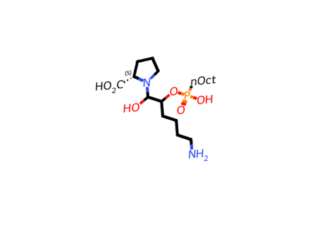 CCCCCCCCP(=O)(O)OC(CCCCN)C(O)N1CCC[C@H]1C(=O)O